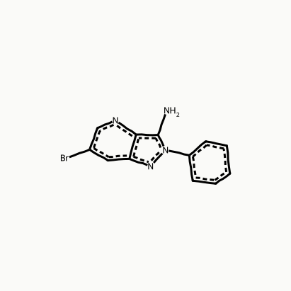 Nc1c2ncc(Br)cc2nn1-c1ccccc1